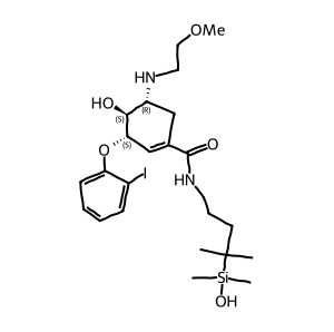 COCCN[C@@H]1CC(C(=O)NCCCC(C)(C)[Si](C)(C)O)=C[C@H](Oc2ccccc2I)[C@H]1O